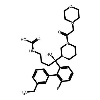 CCc1cccc(-c2c(F)cccc2[C@](O)(CCCNC(=O)O)[C@@H]2CCCN(C(=O)CN3CCOCC3)C2)c1